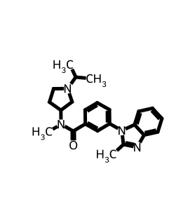 Cc1nc2ccccc2n1-c1cccc(C(=O)N(C)C2CCN(C(C)C)C2)c1